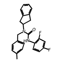 Cc1ccc(CN(C(=O)Nc2ccc(F)cc2F)C2Cc3ccccc3C2)cc1